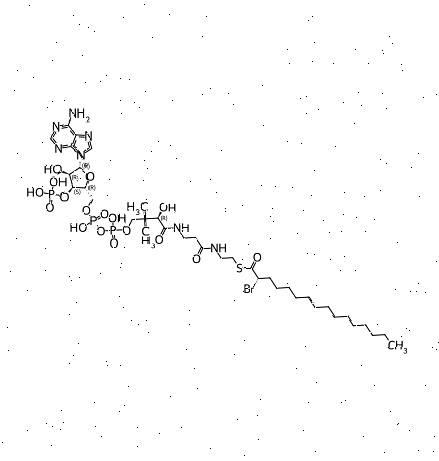 CCCCCCCCCCCCCCC(Br)C(=O)SCCNC(=O)CCNC(=O)[C@H](O)C(C)(C)COP(=O)(O)OP(=O)(O)OC[C@H]1O[C@@H](n2cnc3c(N)ncnc32)[C@H](O)[C@@H]1OP(=O)(O)O